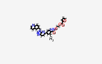 Cc1cc(-c2ccc3nnn(Cc4ccc5ncccc5c4)c3n2)ccc1C(=O)NOCCOC(=O)c1ccco1